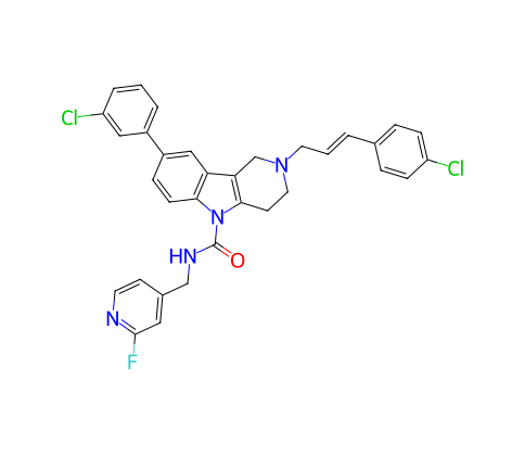 O=C(NCc1ccnc(F)c1)n1c2c(c3cc(-c4cccc(Cl)c4)ccc31)CN(CC=Cc1ccc(Cl)cc1)CC2